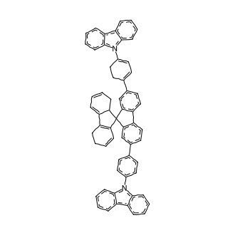 C1=CCC2C(=C1)C1=C(C=CCC1)C21c2cc(C3=CC=C(n4c5ccccc5c5ccccc54)CC3)ccc2-c2ccc(-c3ccc(-n4c5ccccc5c5ccccc54)cc3)cc21